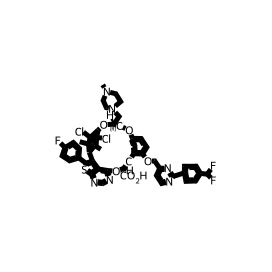 Cc1c(Cl)c2c(Cl)c(C)c1-c1c(-c3ccc(F)cc3)sc3ncnc(c13)O[C@@H](C(=O)O)Cc1cc(ccc1OCc1ccnc(-c3ccc(C(F)F)cc3)n1)OC[C@@H](CN1CCN(C)CC1)O2